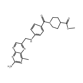 COC(=O)C1CCN(C(=O)c2ccc(NCc3cnc4nc(N)nc(C)c4n3)cc2)CC1